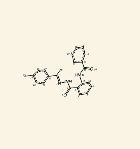 CC(=NNC(=O)c1ccccc1NC(=O)c1cccnc1)c1ccc(C)cc1